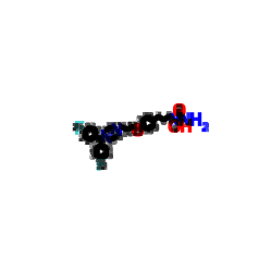 NC(=O)N(O)CCCc1ccc(OCCCN2CCN(C(c3ccc(F)cc3)c3ccc(F)cc3)CC2)cc1